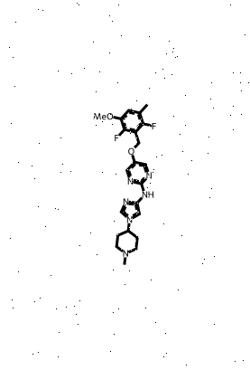 COc1cc(C)c(F)c(COc2cnc(Nc3cn(C4CCN(C)CC4)cn3)nc2)c1F